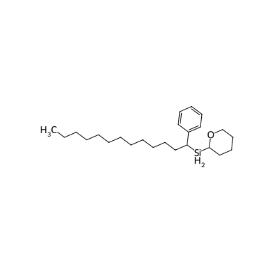 CCCCCCCCCCCCC([SiH2]C1CCCCO1)c1ccccc1